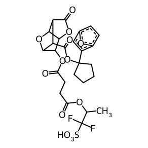 CC(OC(=O)CCC(=O)OC1C2OC(=O)C3C2OC1C3C(=O)OC1(c2cc3ccc2o3)CCCC1)C(F)(F)S(=O)(=O)O